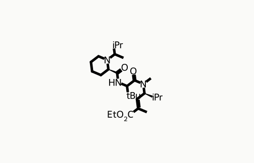 CCOC(=O)/C(C)=C/[C@H](C(C)C)N(C)C(=O)C(NC(=O)[C@H]1CCCCN1C(C)C(C)C)C(C)(C)C